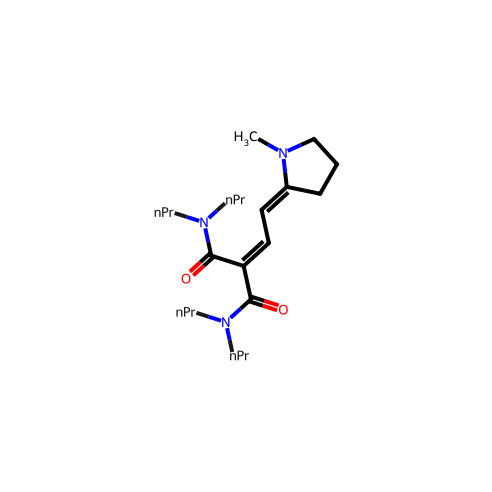 CCCN(CCC)C(=O)C(=C/C=C1\CCCN1C)C(=O)N(CCC)CCC